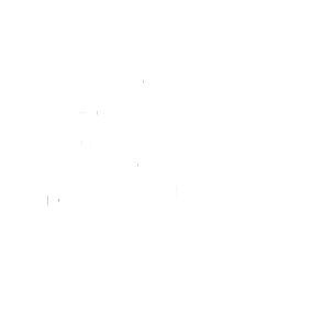 CC(Cl)(OS(C)(=O)=O)c1ccccc1Cl